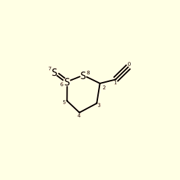 C#CC1CCCS(=S)S1